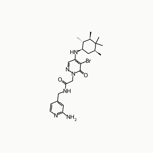 C[C@@H]1[C@@H](C)C(C)(C)[C@@H](C)C[C@H]1Nc1cnn(CC(=O)NCc2ccnc(N)c2)c(=O)c1Br